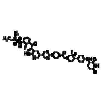 CCN(C)S(=O)(=O)Nc1cccc(C(=O)c2c[nH]c3ncc(-c4cnc(N5CCN(C(=O)CN6CCC(c7ccc(NC8CCC(=O)NC8=O)cc7)C(F)(F)C6)CC5)nc4)cc23)c1F